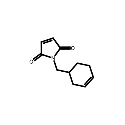 O=C1C=CC(=O)N1CC1CC=[C]CC1